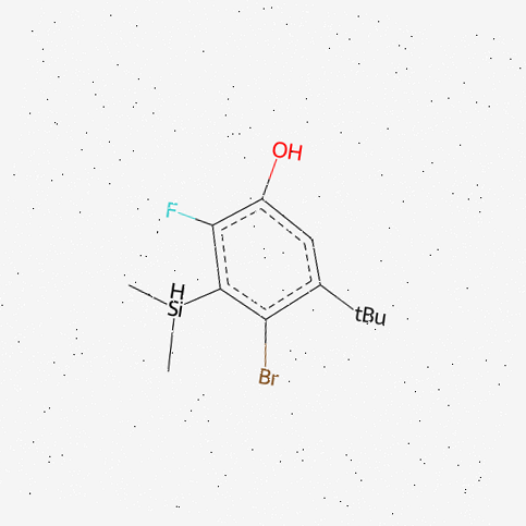 C[SiH](C)c1c(F)c(O)cc(C(C)(C)C)c1Br